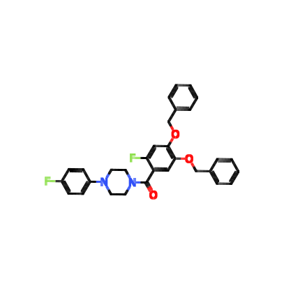 O=C(c1cc(OCc2ccccc2)c(OCc2ccccc2)cc1F)N1CCN(c2ccc(F)cc2)CC1